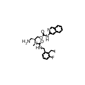 CN(C(=O)NCc1cccc(F)c1CI)[C@@H](CN)COC(=O)Nc1cc2ccccc2cn1